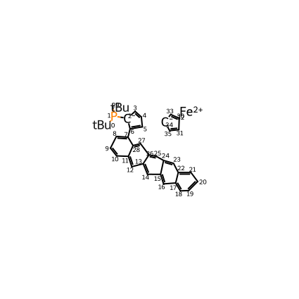 CC(C)(C)P([c-]1cccc1-c1cccc2cc3cc4cc5ccccc5cc4cc3cc12)C(C)(C)C.[Fe+2].c1cc[cH-]c1